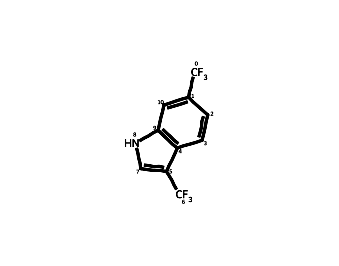 FC(F)(F)c1ccc2c(C(F)(F)F)c[nH]c2c1